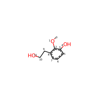 COc1c(O)cccc1CCO